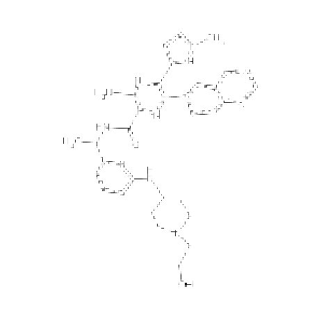 CC(NC(=O)c1nc(-c2ccc3ncccc3c2)c(-c2ccn(C)n2)nc1N)c1cccc(NC2CCN(CCO)CC2)n1